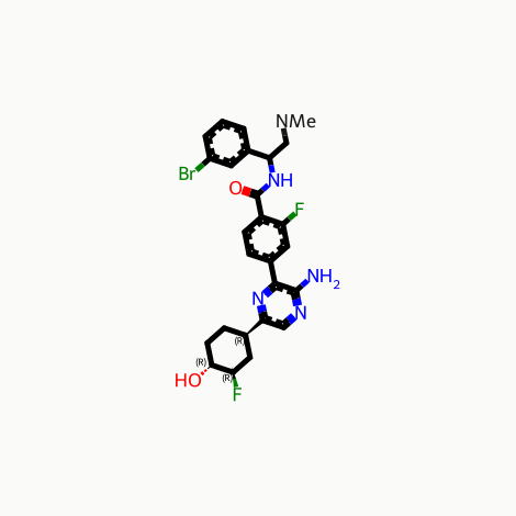 CNCC(NC(=O)c1ccc(-c2nc([C@@H]3CC[C@@H](O)[C@H](F)C3)cnc2N)cc1F)c1cccc(Br)c1